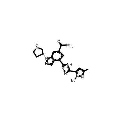 CCn1nc(C)cc1-c1nnc(-c2cc(C(N)=O)cc3c2cnn3[C@@H]2CCNC2)[nH]1